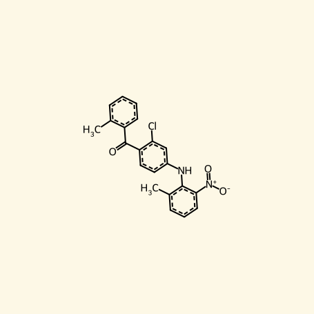 Cc1ccccc1C(=O)c1ccc(Nc2c(C)cccc2[N+](=O)[O-])cc1Cl